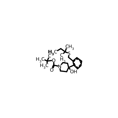 CCC(C)(C)SCc1ccccc1C1(O)CCN(C(=O)OC(C)(C)C)CC1